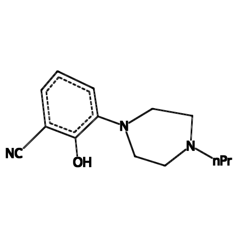 CCCN1CCN(c2cccc(C#N)c2O)CC1